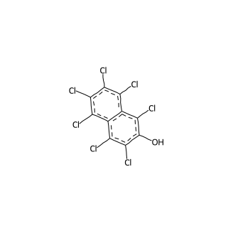 Oc1c(Cl)c(Cl)c2c(Cl)c(Cl)c(Cl)c(Cl)c2c1Cl